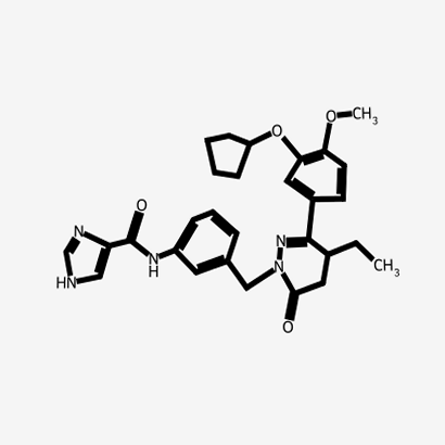 CCC1CC(=O)N(Cc2cccc(NC(=O)c3c[nH]cn3)c2)N=C1c1ccc(OC)c(OC2CCCC2)c1